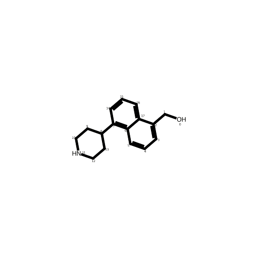 OCc1cccc2c(C3CCNCC3)cccc12